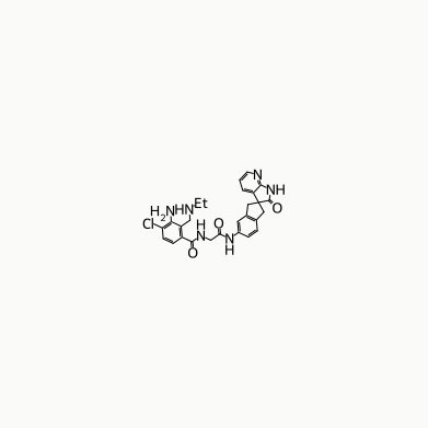 CCNCc1c(C(=O)NCC(=O)Nc2ccc3c(c2)CC2(C3)C(=O)Nc3ncccc32)ccc(Cl)c1N